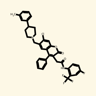 Cc1cccc(C2CCN(Cc3cc4c(-c5ccccc5)c(CC(=O)Nc5ccc(F)cc5C(F)(F)F)c(=O)oc4cc3Cl)CC2)c1